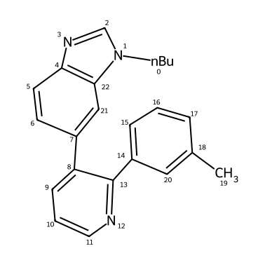 CCCCn1cnc2ccc(-c3cccnc3-c3cccc(C)c3)cc21